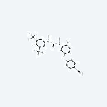 N#Cc1ccc(Oc2ccc(Cl)c(NC(=O)Nc3cc(C(F)(F)F)cc(C(F)(F)F)c3)c2)cc1